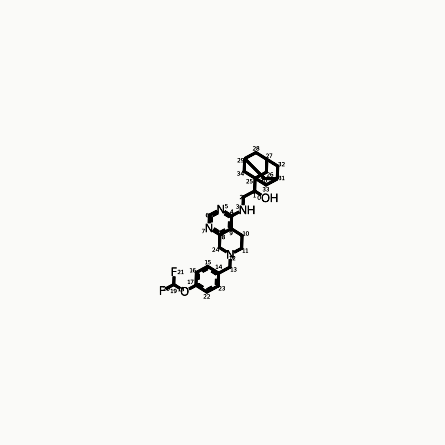 OC(CNc1ncnc2c1CCN(Cc1ccc(OC(F)F)cc1)C2)C12CC3CC(CC(C3)C1)C2